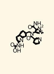 Cn1cc(N(Cc2ccc3ccc(NC(=O)O)nc3c2)C(=O)c2cccnc2)c(C(N)=O)n1